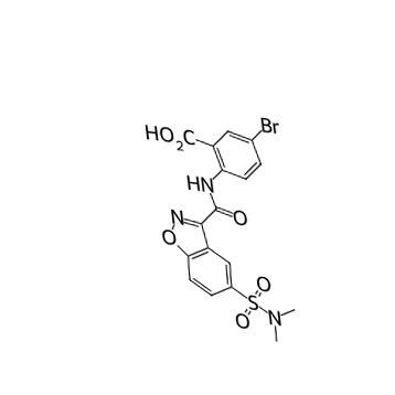 CN(C)S(=O)(=O)c1ccc2onc(C(=O)Nc3ccc(Br)cc3C(=O)O)c2c1